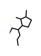 CCCC(CI)C1CCC(C)C1C